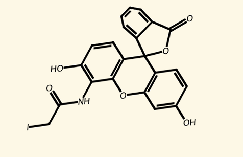 O=C(CI)Nc1c(O)ccc2c1Oc1cc(O)ccc1C21OC(=O)c2ccccc21